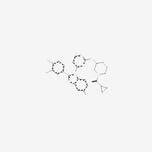 O=C(C1CC1)N1CCCC(Nc2nccc(-n3c(-c4ccc(Cl)c(Cl)c4)nc4cc(O)ccc43)n2)C1